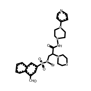 O=Cc1cc(S(=O)(=O)N(Br)CC(C(=O)NN2CCN(c3ccncc3)CC2)N2CCSCC2)cc2ccccc12